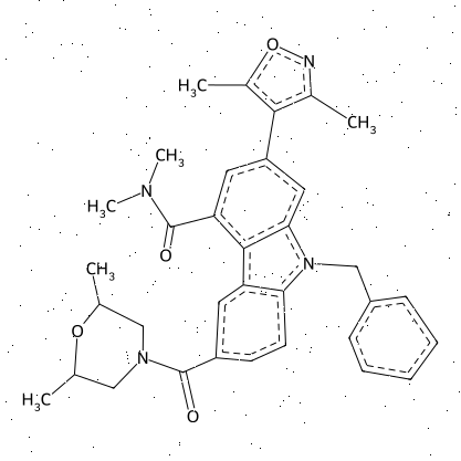 Cc1noc(C)c1-c1cc(C(=O)N(C)C)c2c3cc(C(=O)N4CC(C)OC(C)C4)ccc3n(Cc3ccccc3)c2c1